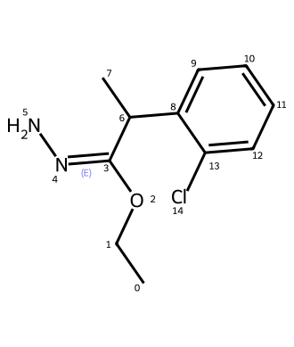 CCO/C(=N/N)C(C)c1ccccc1Cl